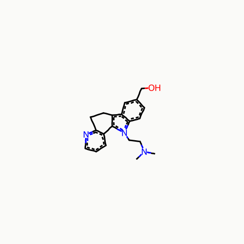 CN(C)CCn1c2c(c3cc(CO)ccc31)CCc1ncccc1-2